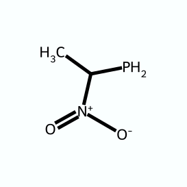 CC(P)[N+](=O)[O-]